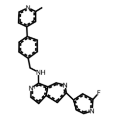 Cc1cc(-c2ccc(CNc3nccc4cc(-c5ccnc(F)c5)ncc34)cc2)ccn1